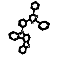 c1ccc(-c2cc(-c3cccc(-n4c5ccccc5c5c6c(ccc54)sc4ccccc46)c3)nc(-c3ccccc3)n2)cc1